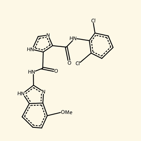 COc1cccc2[nH]c(NC(=O)c3[nH]cnc3C(=O)Nc3c(Cl)cccc3Cl)nc12